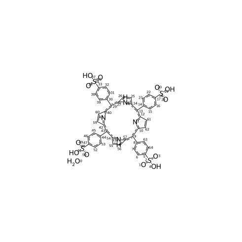 O.O=S(=O)(O)c1ccc(-c2c3nc(c(-c4ccc(S(=O)(=O)O)cc4)c4ccc([nH]4)c(-c4ccc(S(=O)(=O)O)cc4)c4nc(c(-c5ccc(S(=O)(=O)O)cc5)c5ccc2[nH]5)C=C4)C=C3)cc1